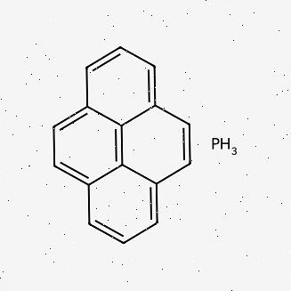 P.c1cc2ccc3cccc4ccc(c1)c2c34